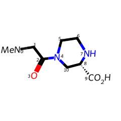 CNCC(=O)N1CCN[C@H](C(=O)O)C1